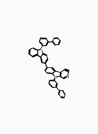 c1ccc(-c2cccc(-n3c4ccccc4c4cc(-c5ccc6c(c5)c5ccncc5n6-c5cccc(-c6ccccc6)c5)ccc43)c2)cc1